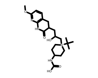 COc1ccc2c(n1)NC(=O)C(CC(O)C[N+]1(C(C)(C)C)CCC(NC(=O)O)CC1)C2